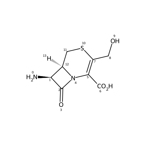 N[C@@H]1C(=O)N2C(C(=O)O)=C(CO)SC[C@H]12